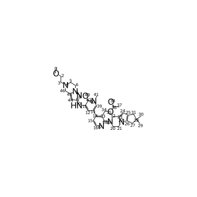 COCCN1CCn2nc(Nc3cc(-c4ccnc(N5CCn6c(cc7c6CC(C)(C)C7)C5)c4COC(C)=O)cn(C)c3=O)cc2C1